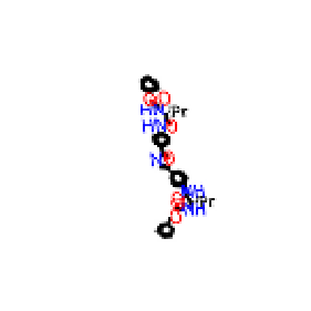 CC(C)[C@H](NC(=O)OCc1ccccc1)C(=O)Nc1ccc(-c2cnc(-c3ccc(NC(=O)[C@@H](NC(=O)Oc4ccccc4)C(C)C)cc3)o2)cc1